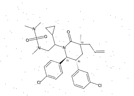 C=CC[C@@]1(C)C[C@H](c2cccc(Cl)c2)[C@@H](c2ccc(Cl)cc2)N(C(CN(C)S(=O)(=O)N(C)C)C2CC2)C1=O